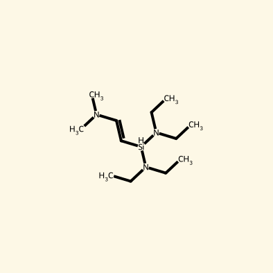 CCN(CC)[SiH](C=CN(C)C)N(CC)CC